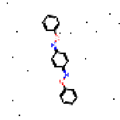 C1=CC(=NOc2ccccc2)C=CC1=NOc1ccccc1